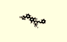 O=C(OC(CCc1ccccc1)NCc1c(F)cc(-c2cccc(-c3nc[nH]n3)c2)cc1F)C(F)(F)F